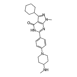 CNC1CCN(c2ccc(-c3nc4c(c(C5CCCCC5)nn4C)c(=O)[nH]3)cc2)CC1